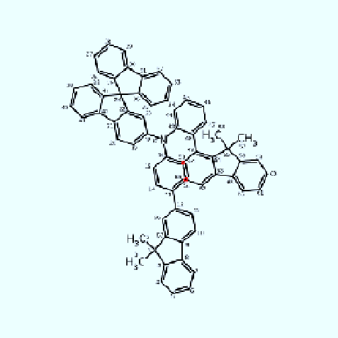 CC1(C)c2ccccc2-c2ccc(-c3ccc(N(c4ccc5c(c4)C4(c6ccccc6-c6ccccc64)c4ccccc4-5)c4ccccc4-c4cccc5c4C(C)(C)c4ccccc4-5)cc3)cc21